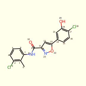 Cc1c(Cl)cccc1NC(=O)c1cc(-c2ccc(Cl)c(O)c2)on1